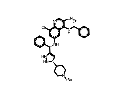 CC[C@@H](Nc1c(C#N)cnc2c(Cl)cc(N[C@H](C3=CN(C4CCN(C(C)(C)C)CC4)NN3)c3ccccc3)cc12)c1ccccc1